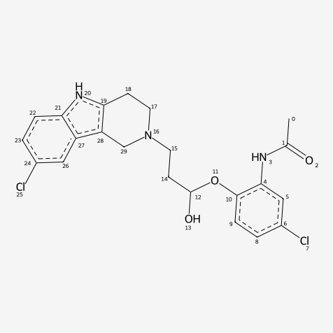 CC(=O)Nc1cc(Cl)ccc1OC(O)CCN1CCc2[nH]c3ccc(Cl)cc3c2C1